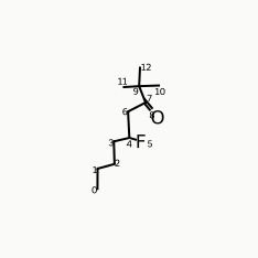 CCCCC(F)CC(=O)C(C)(C)C